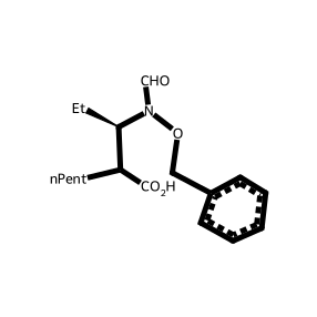 CCCCCC(C(=O)O)[C@@H](CC)N(C=O)OCc1ccccc1